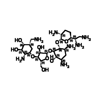 NC[C@@H]1C[C@H](O[C@H]2[C@@H](O)[C@H](O[C@@H]3[C@@H](O)[C@H](N)C[C@H](N)[C@H]3O[C@H]3O[C@H]([C@@H](N)CN)CC[C@H]3N)O[C@@H]2CO)[C@H](N)[C@@H](O)[C@@H]1O